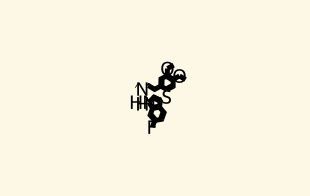 CNCCc1cc(OC)c(OC)cc1Sc1c[nH]c2cc(F)ccc12